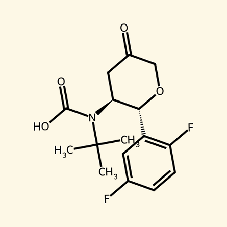 CC(C)(C)N(C(=O)O)[C@H]1CC(=O)CO[C@@H]1c1cc(F)ccc1F